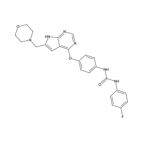 O=C(Nc1ccc(F)cc1)Nc1ccc(Oc2ncnc3[nH]c(CN4CCOCC4)cc23)cc1